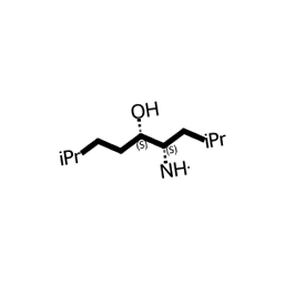 CC(C)CC[C@H](O)[C@@H]([NH])CC(C)C